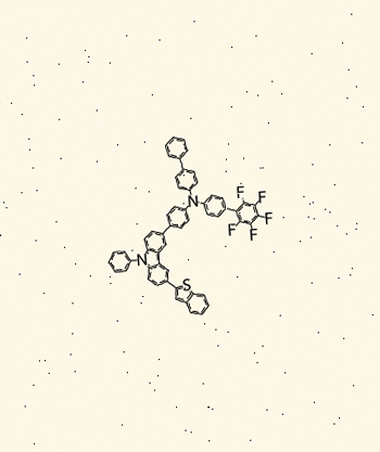 Fc1c(F)c(F)c(-c2ccc(N(c3ccc(-c4ccccc4)cc3)c3ccc(-c4ccc5c(c4)c4cc(-c6cc7ccccc7s6)ccc4n5-c4ccccc4)cc3)cc2)c(F)c1F